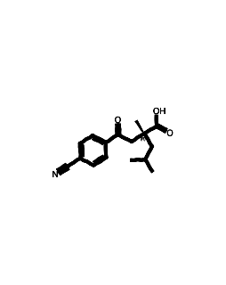 CC(C)C[C@](C)(CC(=O)c1ccc(C#N)cc1)C(=O)O